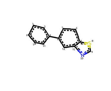 c1ccc(-c2ccc3scnc3c2)cc1